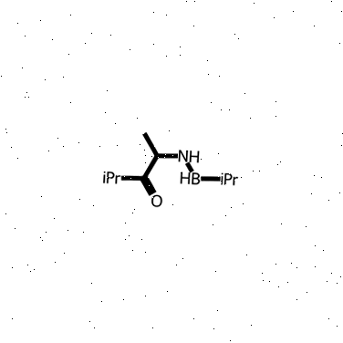 CC(C)BNC(C)C(=O)C(C)C